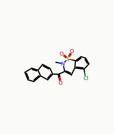 CN1C(C(=O)c2ccc3ccccc3c2)=[C]c2c(Cl)cccc2S1(=O)=O